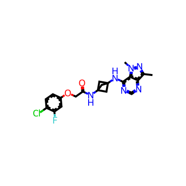 Cc1nn(C)c2c(NC34CC(NC(=O)COc5ccc(Cl)c(F)c5)(C3)C4)ncnc12